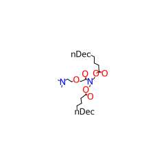 CCCCCCCCCCCCCC(=O)OCN(COC(=O)CCCCCCCCCCCCC)C(=O)COCCN(C)C